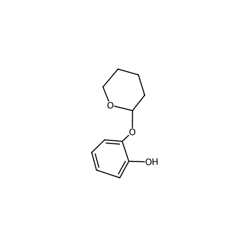 Oc1ccccc1OC1CCCCO1